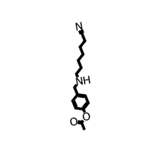 CC(=O)Oc1ccc(CNCCCCCCC#N)cc1